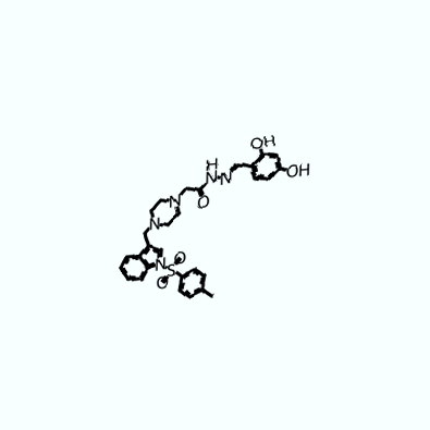 Cc1ccc(S(=O)(=O)n2cc(CN3CCN(CC(=O)NN=Cc4ccc(O)cc4O)CC3)c3ccccc32)cc1